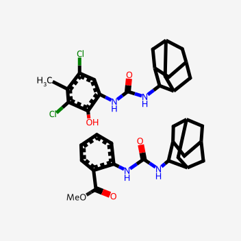 COC(=O)c1ccccc1NC(=O)NC1C2CC3CC(C2)CC1C3.Cc1c(Cl)cc(NC(=O)NC2C3CC4CC(C3)CC2C4)c(O)c1Cl